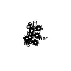 O=S(=O)([O-])c1cc2nc3c4cccc(S(=O)(=O)[O-])c4c(Nc4ccccc4)cc3[n+](-c3ccccc3)c2cc1Nc1ccccc1.[Na+]